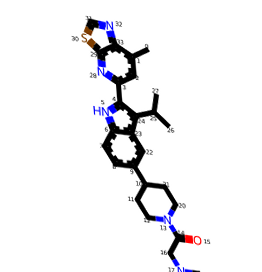 Cc1cc(-c2[nH]c3ccc(C4CCN(C(=O)CN(C)C)CC4)cc3c2C(C)C)nc2scnc12